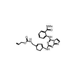 C=CCOC(=O)NCC1=CC=C(Nc2nc(Nc3ccccc3C(=O)NC)n3ccnc3n2)CC1